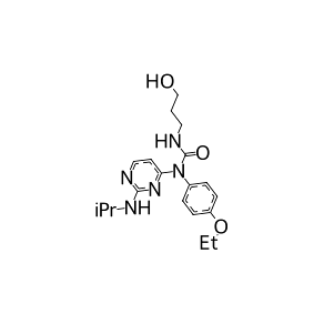 CCOc1ccc(N(C(=O)NCCCO)c2ccnc(NC(C)C)n2)cc1